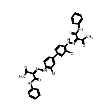 CC(=O)/C(=N/Nc1ccc(-c2ccc(N/N=C(/C(C)=O)C(=O)Nc3ccccc3)c(Cl)c2)cc1Cl)C(=O)Nc1ccccc1